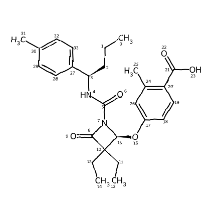 CCC[C@@H](NC(=O)N1C(=O)C(CC)(CC)[C@@H]1Oc1ccc(C(=O)O)c(C)c1)c1ccc(C)cc1